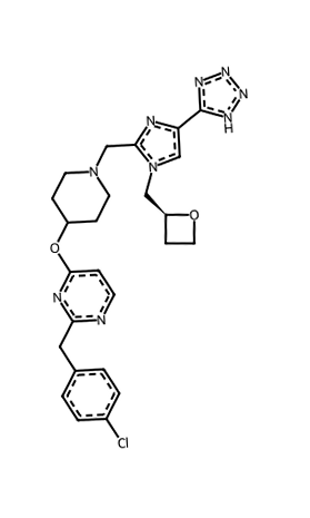 Clc1ccc(Cc2nccc(OC3CCN(Cc4nc(-c5nnn[nH]5)cn4C[C@@H]4CCO4)CC3)n2)cc1